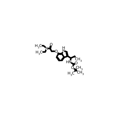 CCC(NC(=O)OC(C)(C)C)c1c[nH]c2c(OCC(=O)N(CC)CC)cccc12